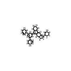 c1ccc(-n2ccc3cc4c(cc32)c2ccccc2n4-c2cc(-c3ccccn3)nc(-c3ccccn3)c2)cc1